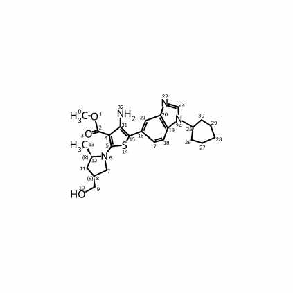 COC(=O)c1c(N2C[C@@H](CO)C[C@H]2C)sc(-c2ccc3c(c2)ncn3C2CCCCC2)c1N